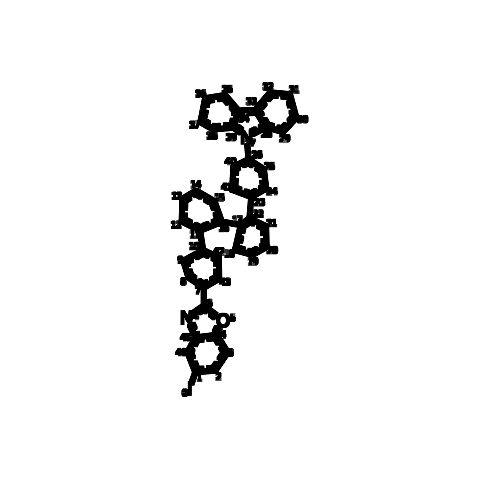 Ic1ccc2oc(-c3ccc(-c4ccccc4-c4ccccc4-c4ccc(-n5c6ccccc6c6ccccc65)cc4)cc3)nc2c1